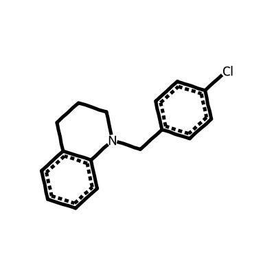 Clc1ccc(CN2CCCc3ccccc32)cc1